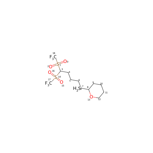 O=S(=O)(C(CCC[SiH2]C1CCCCO1)S(=O)(=O)C(F)(F)F)C(F)(F)F